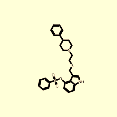 O=S(=O)(Oc1cccc2[nH]cc(CSCCN3CCC(c4ccccc4)CC3)c12)c1ccccc1